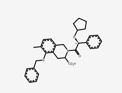 Cc1ccc2c(c1OCc1ccccc1)CC(C(=O)O)N(C(=O)[C@@H](OC1CCCC1)c1ccccc1)C2